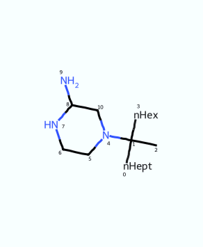 CCCCCCCC(C)(CCCCCC)N1CCNC(N)C1